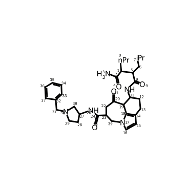 CCCC(C(N)=O)C(CC(C)C)C(=O)NC1CCc2ccn3c2C1C(=O)CC(C(=O)NC1CCN(Cc2ccccc2)C1)C3